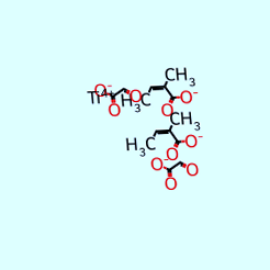 CC=C(C)C(=O)[O-].CC=C(C)C(=O)[O-].O=CC(=O)[O-].O=CC(=O)[O-].[Ti+4]